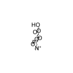 C[N+](C)(C)CCC(COC(=O)/C=C/C(=O)OCCO)P=O